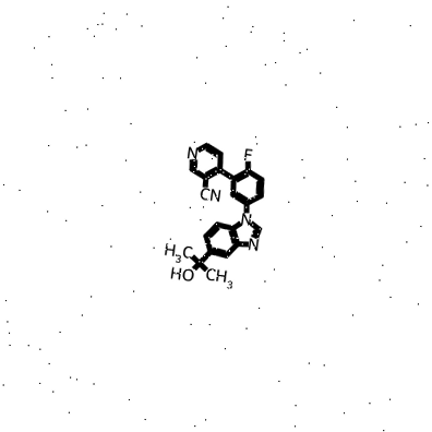 CC(C)(O)c1ccc2c(c1)ncn2-c1ccc(F)c(-c2ccncc2C#N)c1